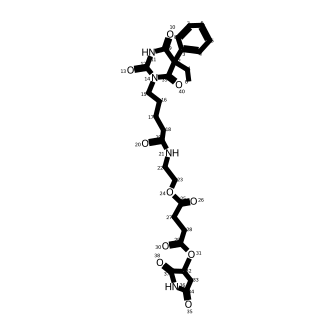 CCC1(c2ccccc2)C(=O)NC(=O)N(CCCCC(=O)NCCOC(=O)CCC(=O)OC2CC(=O)NC2=O)C1=O